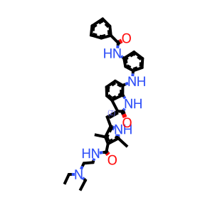 CCN(CC)CCNC(=O)c1c(C)[nH]c(/C=C2\C(=O)Nc3c(Nc4cccc(NC(=O)c5ccccc5)c4)cccc32)c1C